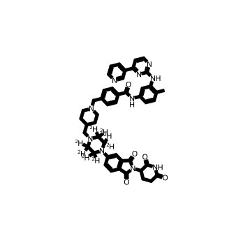 [2H]C1([2H])N(CC2CCN(Cc3ccc(C(=O)Nc4ccc(C)c(Nc5nccc(-c6cccnc6)n5)c4)cc3)CC2)C([2H])([2H])C([2H])([2H])N(c2ccc3c(c2)C(=O)N(C2CCC(=O)NC2=O)C3=O)C1([2H])[2H]